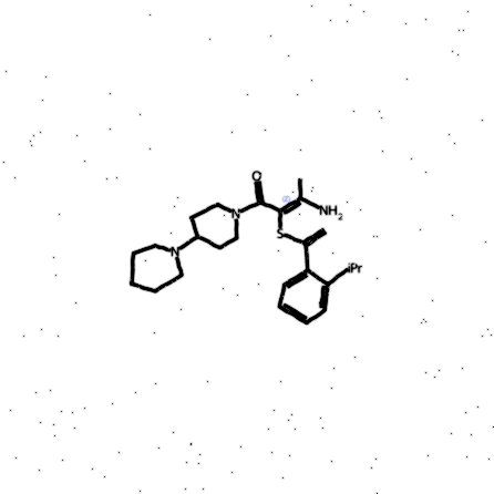 C=C(S/C(C(=O)N1CCC(N2CCCCC2)CC1)=C(/C)N)c1ccccc1C(C)C